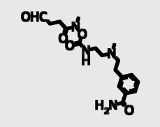 CN(CCNC(=O)ON(C)C(=O)CCC=O)CCc1cccc(C(N)=O)c1